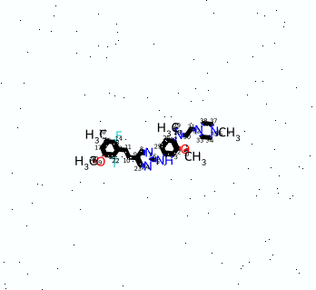 COc1cc(Nc2ncc(CCc3c(F)c(C)cc(OC)c3F)cn2)ccc1N(C)CCN1CCN(C)CC1